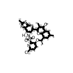 Cc1cc([C@@H](C)Oc2ccc(Cl)nc2S(N)(=O)=O)c2oc(-c3ccc4nc(C)sc4n3)c(C)c(=O)c2c1